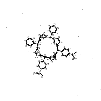 CCN(C)c1ccc(-c2c3nc(c(-c4ccccc4)c4ccc([nH]4)c(-c4ccccc4)c4nc(c(-c5ccc(N(C)CC)cc5)c5ccc2[nH]5)C=C4)C=C3)cc1